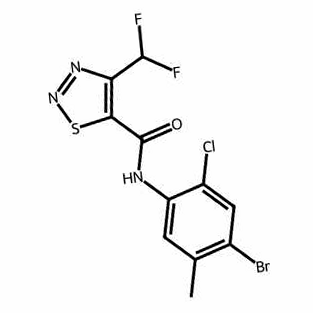 Cc1cc(NC(=O)c2snnc2C(F)F)c(Cl)cc1Br